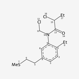 CCc1ccc(CCSC)cc1N(CCl)C(=O)C(Cl)CC